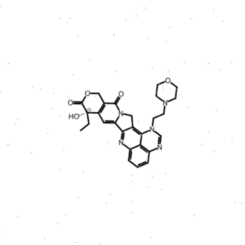 CC[C@@]1(O)C(=O)OCc2c1cc1n(c2=O)Cc2c-1nc1cccc3c1c2N(CCN1CCOCC1)C=N3